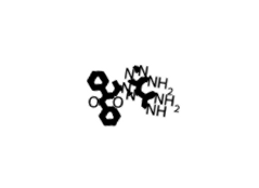 CC(c1oc2ccccc2c(=O)c1-c1ccccc1)n1nc(/C(C=N)=C/N)c2c(N)ncnc21